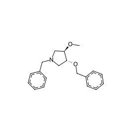 CO[C@@H]1CN(Cc2ccccc2)C[C@H]1OCc1ccccc1